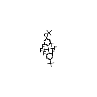 CC(C)(C)Oc1ccc(C(c2ccc(C(C)(C)C)cc2)(C(F)(F)F)C(F)(F)F)cc1